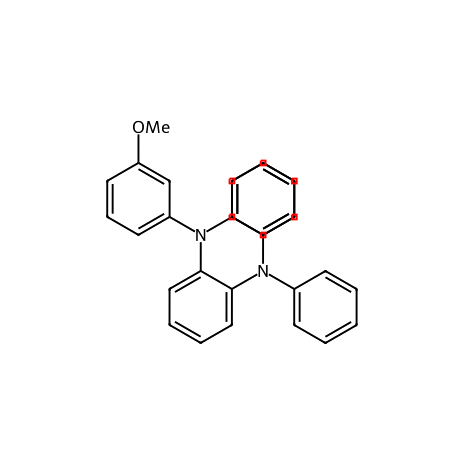 COc1cccc(N(c2ccccc2)c2ccccc2N(c2ccccc2)c2ccccc2)c1